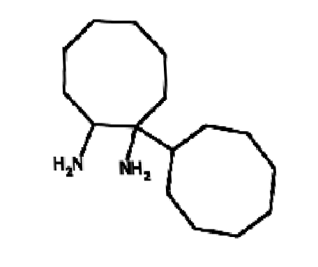 NC1CCCCCCC1(N)C1CCCCCCC1